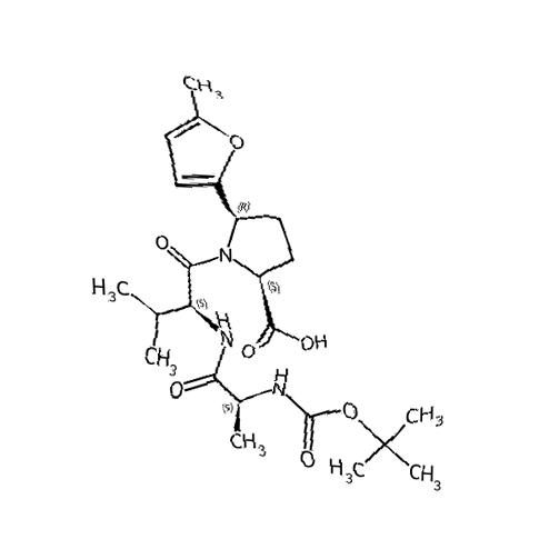 Cc1ccc([C@H]2CC[C@@H](C(=O)O)N2C(=O)[C@@H](NC(=O)[C@H](C)NC(=O)OC(C)(C)C)C(C)C)o1